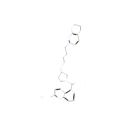 COc1ccc2c(C(C(=O)O)N3CC[C@@H](OCCCCc4ccc5c(n4)NCCC5)C3)cccc2n1